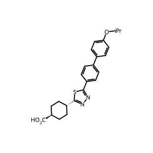 CC(C)Oc1ccc(-c2ccc(-c3nnc([C@H]4CC[C@H](C(=O)O)CC4)s3)cc2)cc1